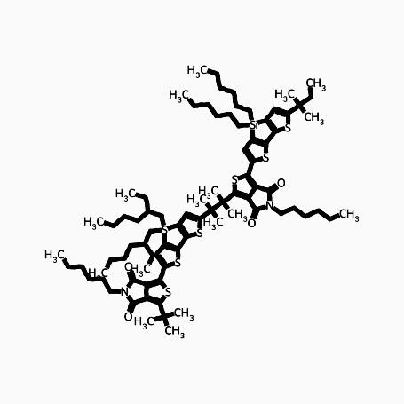 CCCCCCN1C(=O)c2c(-c3cc4c(s3)-c3sc(C(C)(C)C(C)(C)c5sc(-c6cc7c(s6)-c6sc(C(C)(C)CC)cc6[Si]7(CCCCCC)CCCCCC)c6c5C(=O)N(CCCCCC)C6=O)cc3S4(CC(CC)CCCC)CC(CC)CCCC)sc(C(C)(C)C)c2C1=O